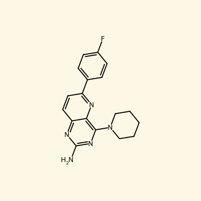 Nc1nc(N2CCCCC2)c2nc(-c3ccc(F)cc3)ccc2n1